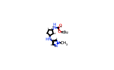 Cn1cc(NC2CCC(NC(=O)OC(C)(C)C)C2)cn1